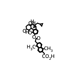 Cc1c(CC(=O)O)ccc2c(C)c(CC(=O)Oc3ccc4c5c3O[C@H]3C(=O)CC[C@@]6(O)[C@@H](C4)N(CC4CC4)CC[C@]536)ccc12